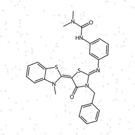 CN(C)C(=O)Nc1cccc(/N=C2\S/C(=C3\Sc4ccccc4N3C)C(=O)N2Cc2ccccc2)c1